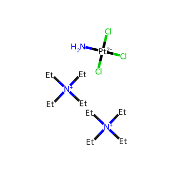 CC[N+](CC)(CC)CC.CC[N+](CC)(CC)CC.[NH2][Pt-2]([Cl])([Cl])[Cl]